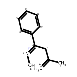 C=C(C)C/C(=N\O)c1ccccc1